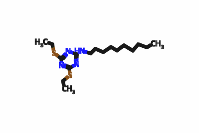 CCCCCCCCCCNc1nc(SCC)nc(SCC)n1